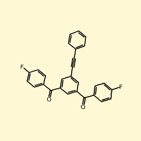 O=C(c1ccc(F)cc1)c1cc(C#Cc2ccccc2)cc(C(=O)c2ccc(F)cc2)c1